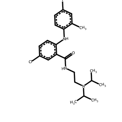 Cc1cc(I)ccc1Nc1ccc(Cl)cc1C(=O)NCCN(C(C)C)C(C)C